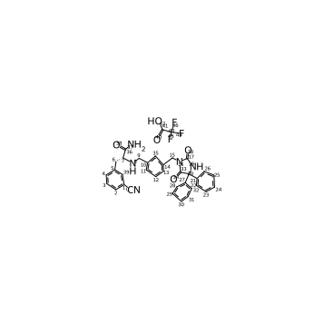 N#Cc1cccc(C[C@@H](NCc2cccc(CN3C(=O)NC(c4ccccc4)(c4ccccc4)C3=O)c2)C(N)=O)c1.O=C(O)C(F)(F)F